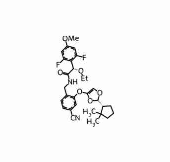 CCO[C@H](C(=O)NCc1ccc(C#N)cc1OC1=COC([C@@H]2CCCC2(C)C)O1)c1c(F)cc(OC)cc1F